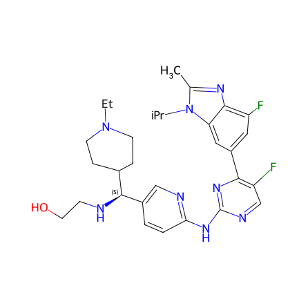 CCN1CCC([C@H](NCCO)c2ccc(Nc3ncc(F)c(-c4cc(F)c5nc(C)n(C(C)C)c5c4)n3)nc2)CC1